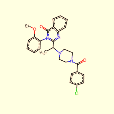 CCOc1ccccc1-n1c(C(C)N2CCN(C(=O)c3ccc(Cl)cc3)CC2)nc2ccccc2c1=O